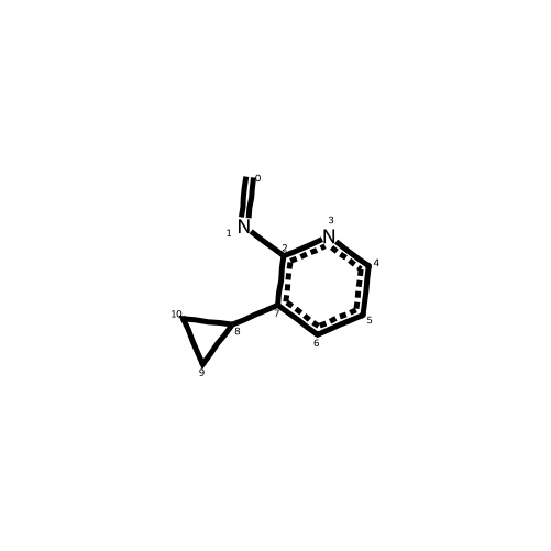 C=Nc1ncccc1C1CC1